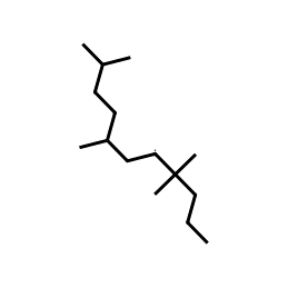 CCCC(C)(C)[CH]CC(C)CCC(C)C